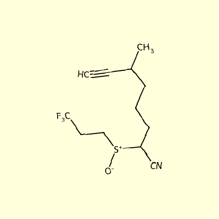 C#CC(C)CCCC(C#N)[S+]([O-])CCC(F)(F)F